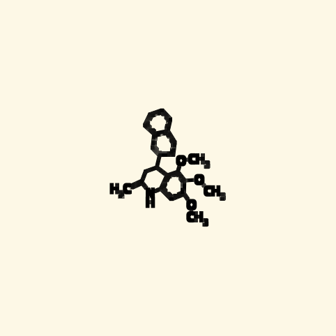 C=C1CC(c2ccc3ccccc3c2)c2c(cc(OC)c(OC)c2OC)N1